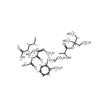 CC(=O)O.CC(O)C(=O)OC(CC(=O)O)(CC(=O)O)C(=O)O.CCCC(=O)OC(=O)/C=C\C(=O)O.CCCCC(=O)O.O=C(O)c1ccccc1C(=O)O.O=CO